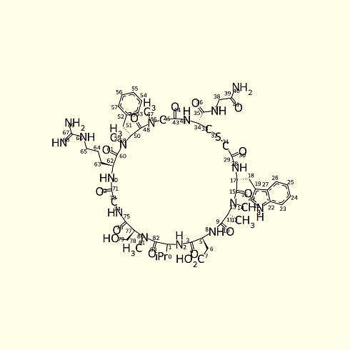 CC(C)C1NC(=O)[C@H](CC(=O)O)NC(=O)[C@@H](C)N(C)C(=O)[C@@H](Cc2c[nH]c3ccccc23)NC(=O)CSC[C@@H](C(=O)NCC(N)=O)NC(=O)CN(C)C(=O)[C@@H](Cc2ccccc2)N(C)C(=O)[C@H](CCCNC(=N)N)NC(=O)CNC(=O)[C@H](CO)N(C)C1=O